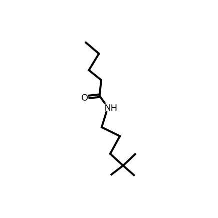 CCCCC(=O)NCCCC(C)(C)C